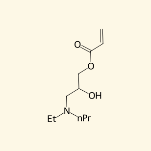 C=CC(=O)OCC(O)CN(CC)CCC